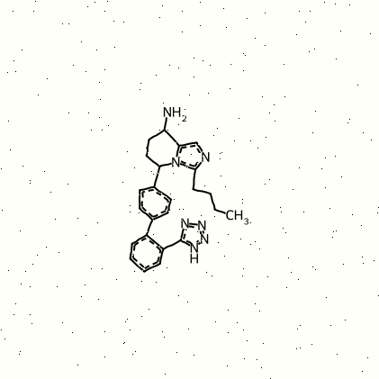 CCCCc1ncc2n1C(c1ccc(-c3ccccc3-c3nnn[nH]3)cc1)CCC2N